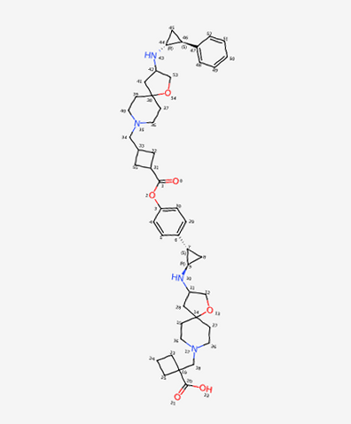 O=C(Oc1ccc([C@@H]2C[C@H]2NC2COC3(CCN(CC4(C(=O)O)CCC4)CC3)C2)cc1)C1CC(CN2CCC3(CC2)CC(N[C@@H]2C[C@H]2c2ccccc2)CO3)C1